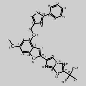 COc1cc(OCc2csc(-c3ccccc3)n2)c2cc(-c3cn4nc(C(C)(F)F)oc4n3)oc2c1